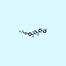 Cc1cccc(-c2nccc(Nc3ccnc(Nc4ccc(N5CC(CN)C5)cc4)n3)n2)n1